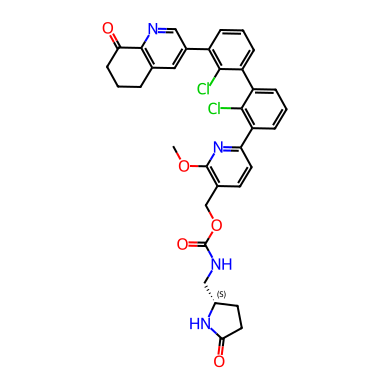 COc1nc(-c2cccc(-c3cccc(-c4cnc5c(c4)CCCC5=O)c3Cl)c2Cl)ccc1COC(=O)NC[C@@H]1CCC(=O)N1